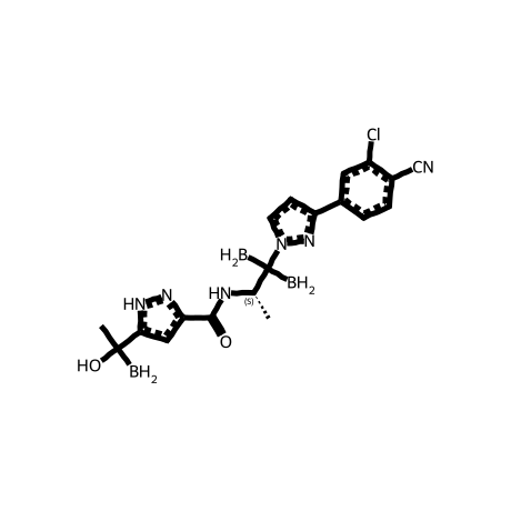 BC(C)(O)c1cc(C(=O)N[C@@H](C)C(B)(B)n2ccc(-c3ccc(C#N)c(Cl)c3)n2)n[nH]1